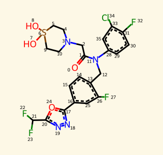 O=C(CN1CCS(O)(O)CC1)N(Cc1ccc(-c2nnc(C(F)F)o2)cc1F)c1ccc(F)c(Cl)c1